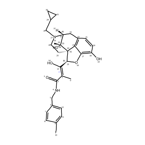 C/C(C(=O)NCc1ccc(F)cc1)=C(/O)[C@@H]1Oc2c(O)ccc3c2[C@@]12CCN(CC1CC1)[C@H](C3)[C@@]2(C)O